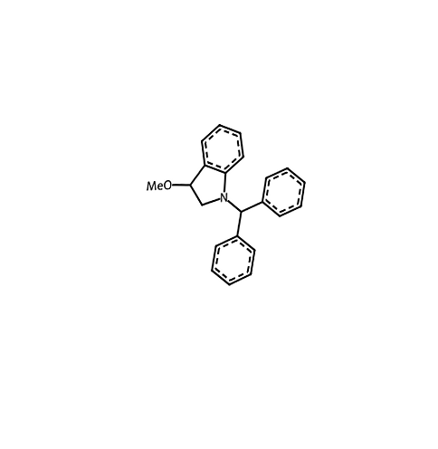 COC1CN(C(c2ccccc2)c2ccccc2)c2ccccc21